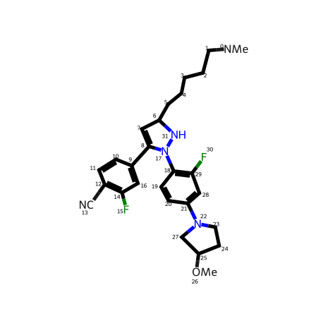 CNCCCCCC1C=C(c2ccc(C#N)c(F)c2)N(c2ccc(N3CCC(OC)C3)cc2F)N1